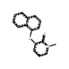 Cn1cccc(Sc2cccc3ccccc23)c1=O